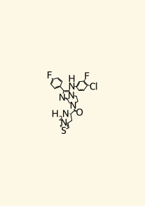 N[C@@H](Cc1cscn1)C(=O)N1CCn2c(nc(-c3ccc(F)cc3)c2Nc2ccc(Cl)c(F)c2)C1